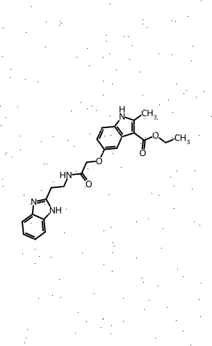 CCOC(=O)c1c(C)[nH]c2ccc(OCC(=O)NCCc3nc4ccccc4[nH]3)cc12